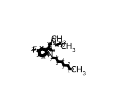 CCCCCCCCn1cc(CN(C)CCC)c2cc(F)ccc21